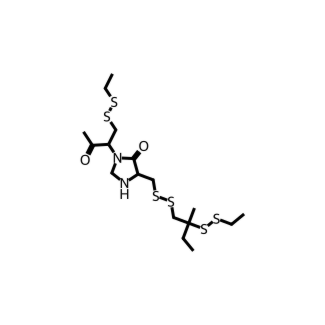 CCSSCC(C(C)=O)N1CNC(CSSCC(C)(CC)SSCC)C1=O